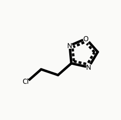 ClCCc1ncon1